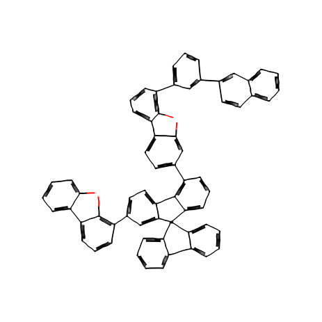 c1cc(-c2ccc3ccccc3c2)cc(-c2cccc3c2oc2cc(-c4cccc5c4-c4ccc(-c6cccc7c6oc6ccccc67)cc4C54c5ccccc5-c5ccccc54)ccc23)c1